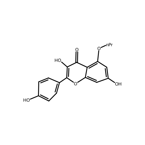 CCCOc1cc(O)cc2oc(-c3ccc(O)cc3)c(O)c(=O)c12